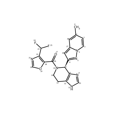 Cc1ccn2nc([C@H]3c4nc[nH]c4CCN3C(=O)c3ocnc3C(F)F)cc2c1